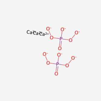 O=P([O-])(O[O-])O[O-].O=P([O-])(O[O-])O[O-].[Ca+2].[Ca+2].[Ca+2]